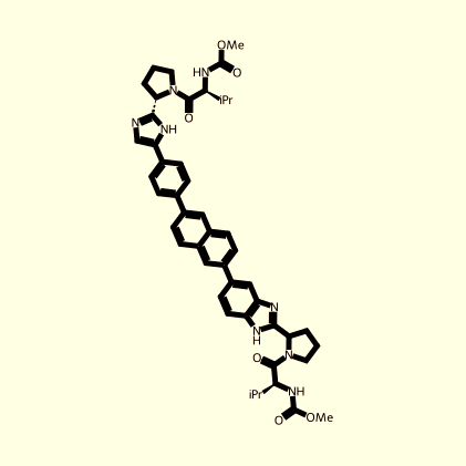 COC(=O)N[C@H](C(=O)N1CCCC1c1nc2cc(-c3ccc4cc(-c5ccc(-c6cnc([C@@H]7CCCN7C(=O)[C@@H](NC(=O)OC)C(C)C)[nH]6)cc5)ccc4c3)ccc2[nH]1)C(C)C